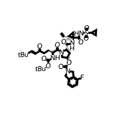 C=C[C@@H]1C[C@]1(NC(=O)[C@@H]1C[C@@H](OC(=O)N2Cc3cccc(F)c3C2)CN1C(=O)[C@H](CCC(=O)C=CC(C)(C)C)NC(=O)OC(C)(C)C)C(=O)NS(=O)(=O)C1CC1